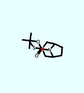 CSN1CC2CCC(C1)N2C(=O)OC(C)(C)C